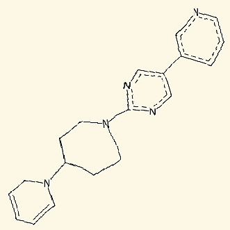 C1=CCN(C2CCN(c3ncc(-c4cccnc4)cn3)CC2)C=C1